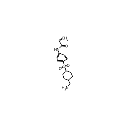 C=CC(=O)Nc1ccc(S(=O)(=O)N2CCC(CN)CC2)cc1